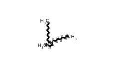 CCCCCCCCCc1n(C)cc[n+]1CCCCCCCC